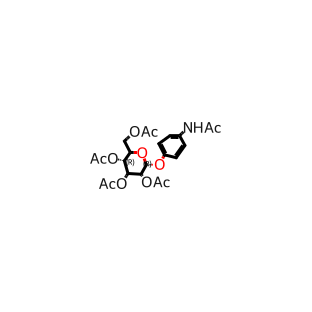 CC(=O)Nc1ccc(O[C@H]2OC(COC(C)=O)[C@@H](OC(C)=O)C(OC(C)=O)C2OC(C)=O)cc1